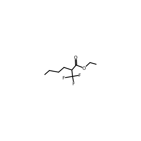 CCCCC(C(=O)OCC)C(F)(F)F